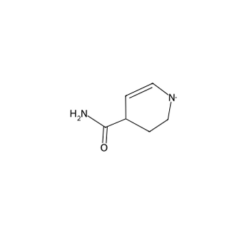 NC(=O)C1C=C[N]CC1